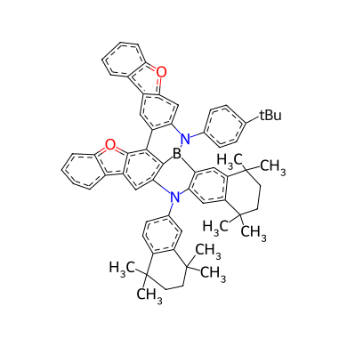 CC(C)(C)c1ccc(N2B3c4cc5c(cc4N(c4ccc6c(c4)C(C)(C)CCC6(C)C)c4cc6c(oc7ccccc76)c(c43)-c3cc4c(cc32)oc2ccccc24)C(C)(C)CCC5(C)C)cc1